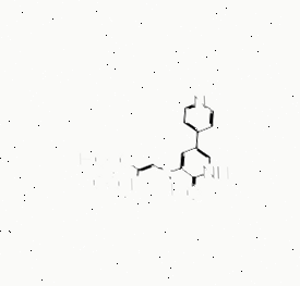 O=C(O)C(=CNc1cc(-c2ccncc2)c[nH]c1=O)C(=O)O